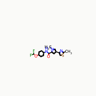 Cc1nc(-c2cc(C(=O)Nc3ccc(OC(F)F)cc3)n(C)c2)cs1